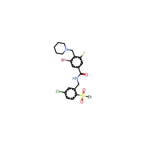 CCS(=O)(=O)c1ccc(Cl)cc1CNC(=O)c1cc(F)c(CN2CCCCC2)c(Br)c1